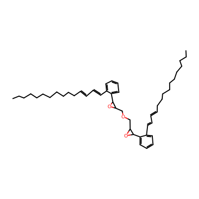 CCCCCCCCCCC/C=C/C=C/c1ccccc1C1OC1COCC1OC1c1ccccc1/C=C/C=C/CCCCCCCCCCC